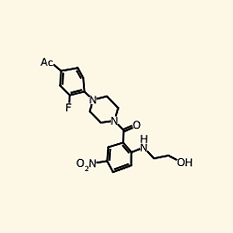 CC(=O)c1ccc(N2CCN(C(=O)c3cc([N+](=O)[O-])ccc3NCCO)CC2)c(F)c1